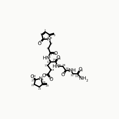 C=C1C=CC(=O)N1CCC(=O)NC(CCC(=O)ON1C(=C)CCC1=O)C(=O)NCC(=O)NCC(N)=O